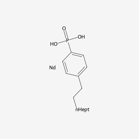 CCCCCCCCCc1ccc(P(=O)(O)O)cc1.[Nd]